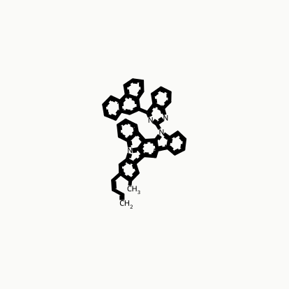 C=C/C=C\c1cc2c(cc1C)c1cc3c4ccccc4n(-c4nc(-c5cc6ccccc6c6ccccc56)c5ccccc5n4)c3c3c4ccccc4n2c13